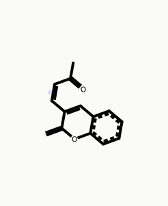 C=C1Oc2ccccc2C=C1/C=C\C(C)=O